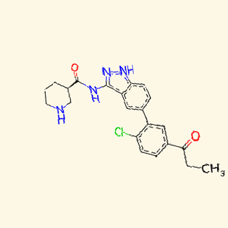 CCC(=O)c1ccc(Cl)c(-c2ccc3[nH]nc(NC(=O)[C@@H]4CCCNC4)c3c2)c1